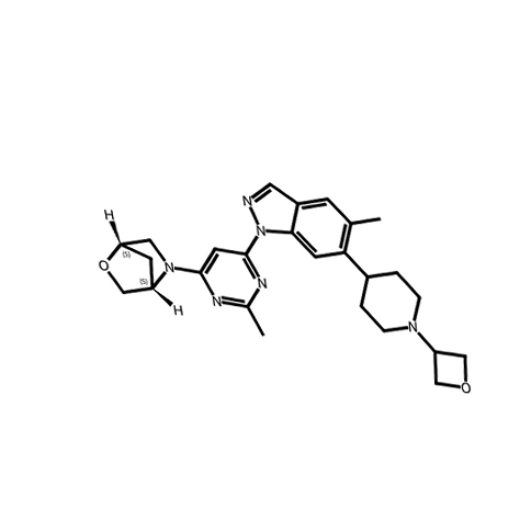 Cc1nc(N2C[C@@H]3C[C@H]2CO3)cc(-n2ncc3cc(C)c(C4CCN(C5COC5)CC4)cc32)n1